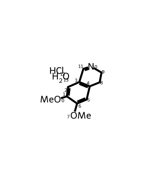 COc1cc2c(cc1OC)CCN=C2.Cl.O